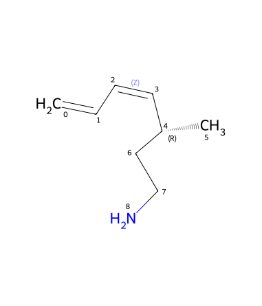 C=C/C=C\[C@H](C)CCN